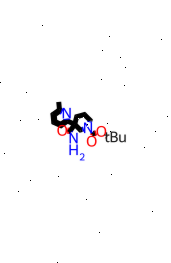 Cc1cccc(C2(C(N)=O)CCCN(C(=O)OC(C)(C)C)C2)n1